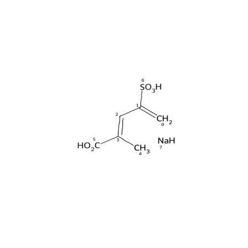 C=C(C=C(C)C(=O)O)S(=O)(=O)O.[NaH]